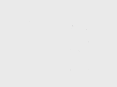 Nc1ncnc2c1c(-c1ccc3cc(OC4CC4)ccc3c1)nn2CC(O)(C(F)(F)F)C(F)(F)F